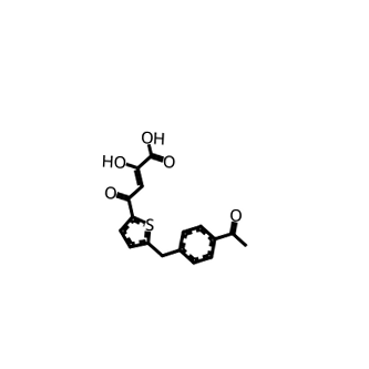 CC(=O)c1ccc(Cc2ccc(C(=O)/C=C(\O)C(=O)O)s2)cc1